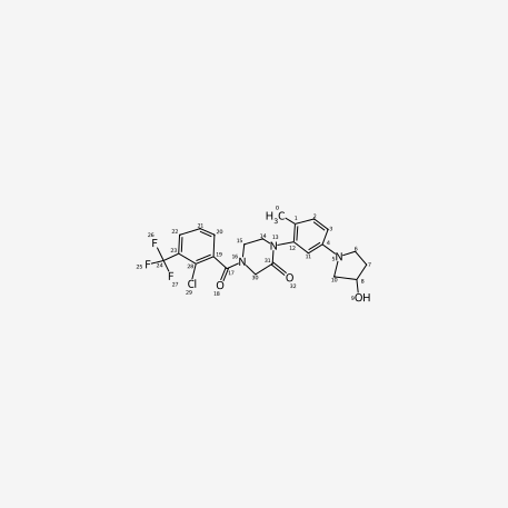 Cc1ccc(N2CCC(O)C2)cc1N1CCN(C(=O)c2cccc(C(F)(F)F)c2Cl)CC1=O